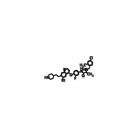 C=C(NCc1ccc(Cl)cc1C)C(=O)Nc1ccc(Oc2ccnc3cc(CCC4CCNCC4)c(CC)cc23)c(F)c1